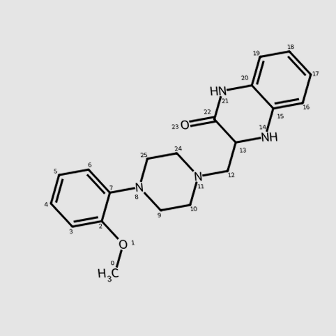 COc1ccccc1N1CCN(CC2Nc3ccccc3NC2=O)CC1